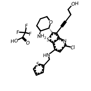 N[C@H]1CCCO[C@@H]1c1sc2c(NCc3cccs3)cc(Cl)nc2c1C#CCCO.O=C(O)C(F)(F)F